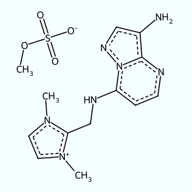 COS(=O)(=O)[O-].Cn1cc[n+](C)c1CNc1ccnc2c(N)cnn12